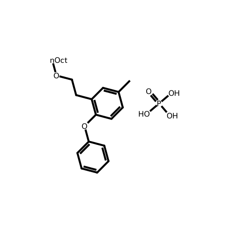 CCCCCCCCOCCc1cc(C)ccc1Oc1ccccc1.O=P(O)(O)O